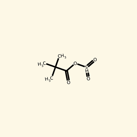 CC(C)(C)C(=O)O[SH](=O)=O